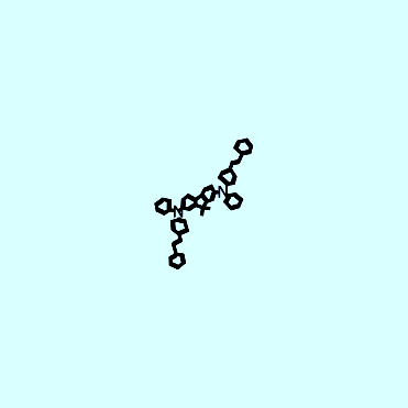 CC1(C)c2cc(N(c3ccccc3)c3ccc(/C=C/c4ccccc4)cc3)ccc2-c2ccc(N(c3ccccc3)c3ccc(/C=C/c4ccccc4)cc3)cc21